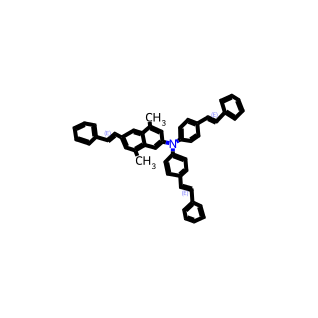 Cc1cc(N(c2ccc(/C=C/c3ccccc3)cc2)c2ccc(/C=C/c3ccccc3)cc2)cc2c(C)cc(/C=C/c3ccccc3)cc12